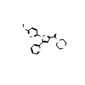 COc1ccc(-n2nc(C(=O)N3CCOC[C@H]3C)cc2-c2ccccn2)nn1